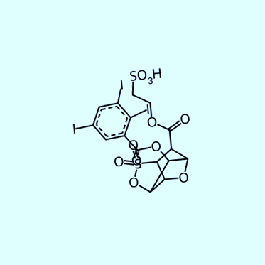 O=C(OC1C2OS(=O)(=O)C3C2OC1C3C(=O)OCCS(=O)(=O)O)c1cc(I)cc(I)c1I